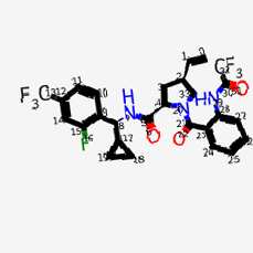 C=C[C@@H]1C[C@H](C(=O)N[C@@H](c2ccc(C(F)(F)F)cc2F)C2CC2)N(C(=O)c2ccccc2NC(=O)C(F)(F)F)C1